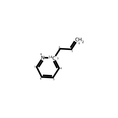 C=C[CH][14c]1ccccn1